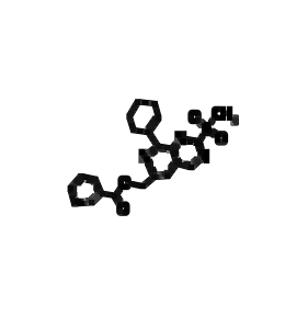 CS(=O)(=O)c1ncc2cc(COC(=O)c3ccccc3)nc(C3=CCCCC3)c2n1